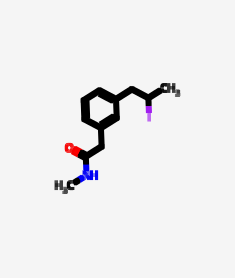 CNC(=O)Cc1cccc(CC(C)I)c1